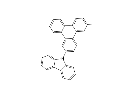 Cc1ccc2c3ccccc3c3cc(-n4c5ccccc5c5ccccc54)ccc3c2c1